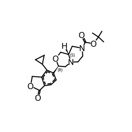 CC(C)(C)OC(=O)N1CCN2C[C@@H](c3ccc4c(c3C3CC3)COC4=O)OC[C@@H]2C1